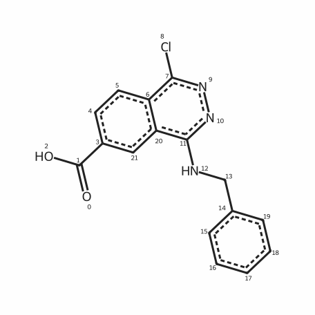 O=C(O)c1ccc2c(Cl)nnc(NCc3ccccc3)c2c1